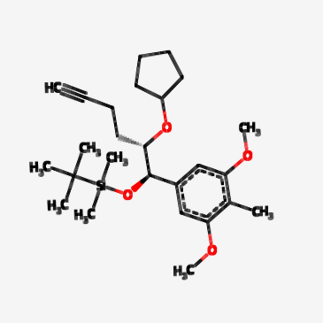 C#CCC[C@H](OC1CCCC1)[C@H](O[Si](C)(C)C(C)(C)C)c1cc(OC)c(C)c(OC)c1